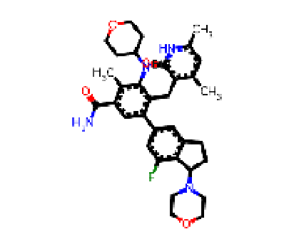 CCN(c1c(C)c(C(N)=O)cc(-c2cc(F)c3c(c2)CCC3N2CCOCC2)c1Cc1c(C)cc(C)[nH]c1=O)C1CCOCC1